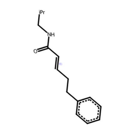 CC(C)CNC(=O)/C=C/CCc1ccccc1